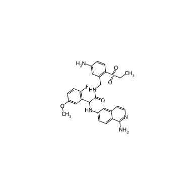 CCS(=O)(=O)c1ccc(N)cc1CNC(=O)C(Nc1ccc2c(N)nccc2c1)c1cc(OC)ccc1F